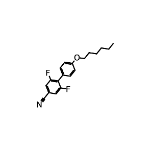 CCCCCCOc1ccc(-c2c(F)cc(C#N)cc2F)cc1